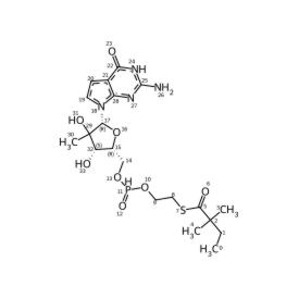 CCC(C)(C)C(=O)SCCO[PH](=O)OC[C@H]1O[C@@H](n2ccc3c(=O)[nH]c(N)nc32)C(C)(O)[C@H]1O